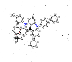 Cc1cc2c3c(c1)N(c1ccc(C(C)(C)C)cc1-c1ccc(C(C)(C)C)cc1)c1cc4c(cc1B3c1cc(-c3ccccc3)ccc1N2c1ccc(-c2ccccc2)cc1)CC(C)(C)C4